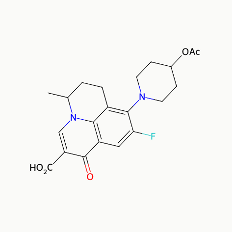 CC(=O)OC1CCN(c2c(F)cc3c(=O)c(C(=O)O)cn4c3c2CCC4C)CC1